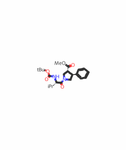 COC(=O)[C@H]1CN(C(=O)[C@@H](NC(=O)OC(C)(C)C)C(C)C)C[C@@H]1c1ccccc1